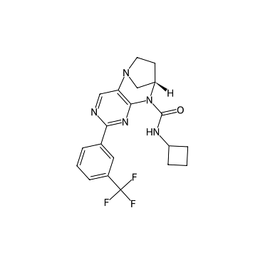 O=C(NC1CCC1)N1c2nc(-c3cccc(C(F)(F)F)c3)ncc2N2CC[C@H]1C2